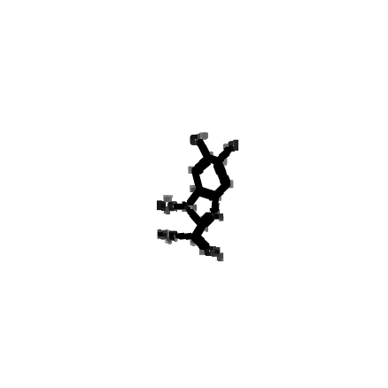 C=C(C)c1nc2cc(Cl)c(Cl)cc2n1C